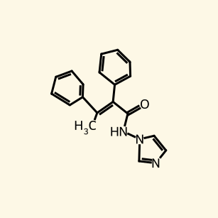 CC(=C(C(=O)Nn1ccnc1)c1ccccc1)c1ccccc1